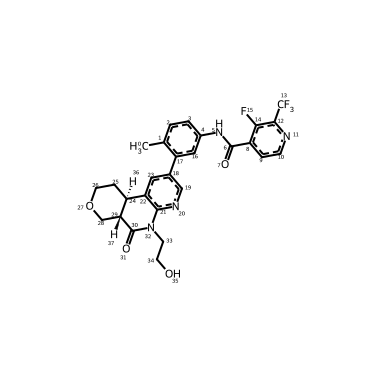 Cc1ccc(NC(=O)c2ccnc(C(F)(F)F)c2F)cc1-c1cnc2c(c1)[C@@H]1CCOC[C@H]1C(=O)N2CCO